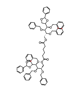 O=C(CCCCC(=O)OC[C@@H](OCc1ccccc1)[C@@H](OCc1ccccc1)[C@H](OCc1ccccc1)C1COC(c2ccccc2)O1)OC[C@@H](OCc1ccccc1)[C@@H](OCc1ccccc1)[C@H](OCc1ccccc1)C1COC(c2ccccc2)O1